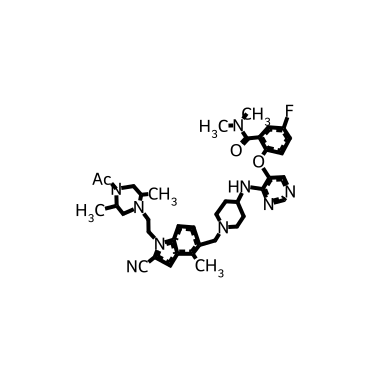 CC(=O)N1CC(C)N(CCn2c(C#N)cc3c(C)c(CN4CCC(Nc5ncncc5Oc5ccc(F)cc5C(=O)N(C)C)CC4)ccc32)CC1C